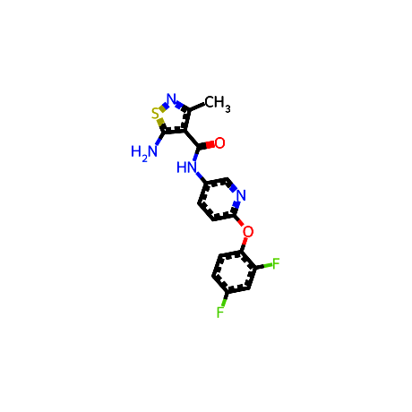 Cc1nsc(N)c1C(=O)Nc1ccc(Oc2ccc(F)cc2F)nc1